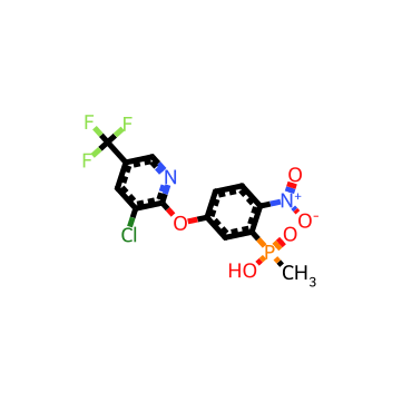 CP(=O)(O)c1cc(Oc2ncc(C(F)(F)F)cc2Cl)ccc1[N+](=O)[O-]